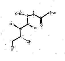 CCCCCCCCCC(=O)N[C@@H](C=O)[C@@H](O)[C@H](O)[C@H](O)CO